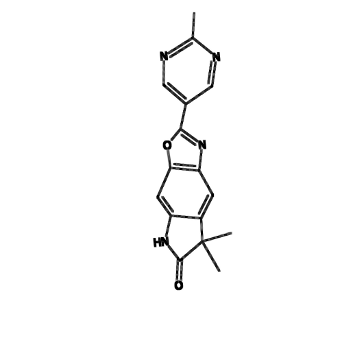 Cc1ncc(-c2nc3cc4c(cc3o2)NC(=O)C4(C)C)cn1